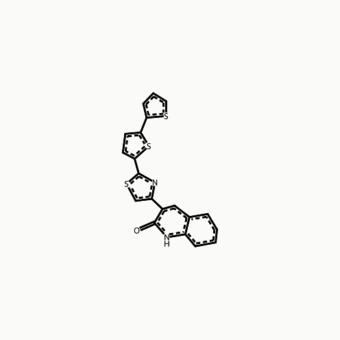 O=c1[nH]c2ccccc2cc1-c1csc(-c2ccc(-c3cccs3)s2)n1